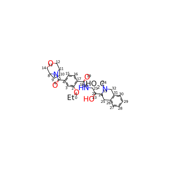 CCOc1cc(C(=O)N2C3CCC2COC3)ccc1C(=O)NC[C@H](O)C1Cc2ccccc2CN1C(=O)O